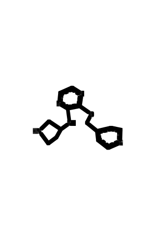 c1cc(COc2nccnc2NC2CCNC2)ccn1